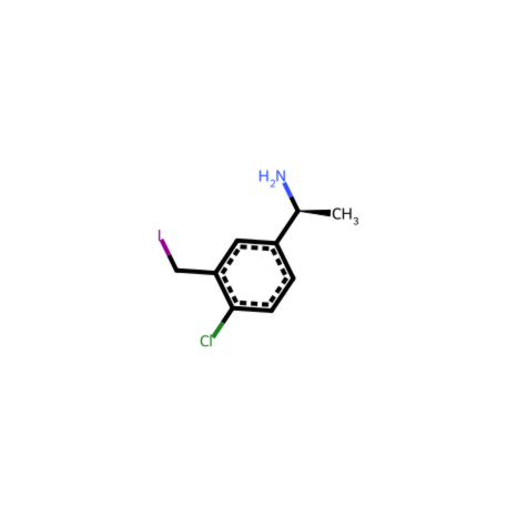 C[C@H](N)c1ccc(Cl)c(CI)c1